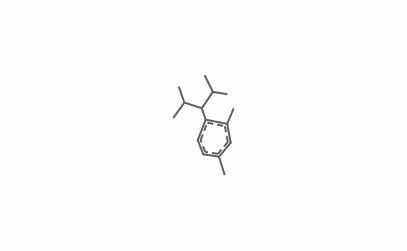 Cc1ccc(C(C(C)C)C(C)C)c(C)c1